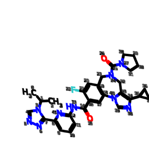 CC(C)n1cnnc1-c1cccc(NC(=O)c2cc3c(cc2F)CN(C(=O)N2CCCC2)Cc2c(C4CC4)ncn2-3)n1